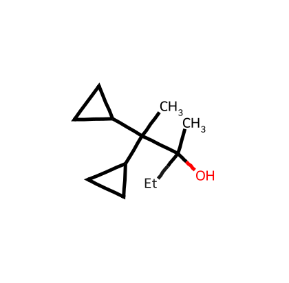 CCC(C)(O)C(C)(C1CC1)C1CC1